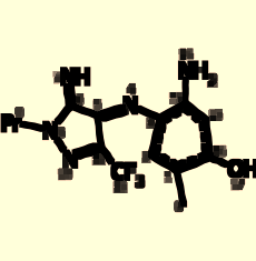 Cc1cc(N=C2C(=N)N(C(C)C)N=C2C(F)(F)F)c(N)cc1O